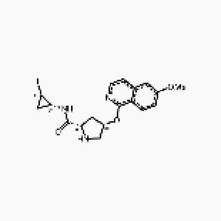 COc1ccc2c(O[C@H]3CN[C@H](C(=O)N[C@@H]4C[C@H]4I)C3)nccc2c1